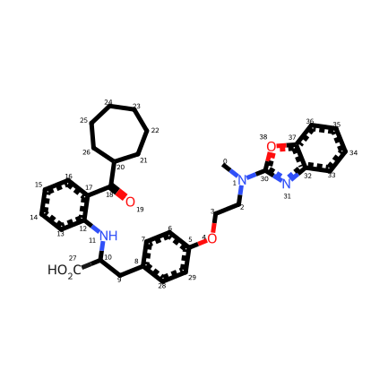 CN(CCOc1ccc(CC(Nc2ccccc2C(=O)C2CCCCCC2)C(=O)O)cc1)c1nc2ccccc2o1